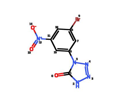 O=c1[nH]nnn1-c1cc(Br)cc([N+](=O)[O-])c1